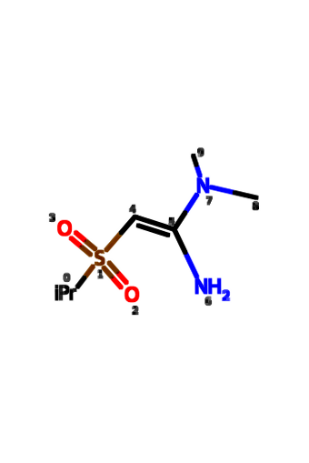 CC(C)S(=O)(=O)/C=C(\N)N(C)C